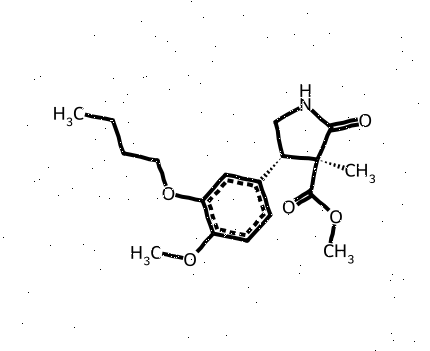 CCCCOc1cc([C@@H]2CNC(=O)[C@@]2(C)C(=O)OC)ccc1OC